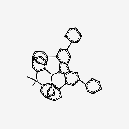 C[Si]1(C)c2ccccc2B(n2c3c(-c4ccccc4)cc(-c4ccccc4)cc3c3cc(-c4ccccc4)cc(-c4ccccc4)c32)c2ccccc21